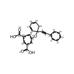 O=C(O)c1cc(OC2(C#Cc3ccccc3)C=CC=CC2)cc(C(=O)O)c1